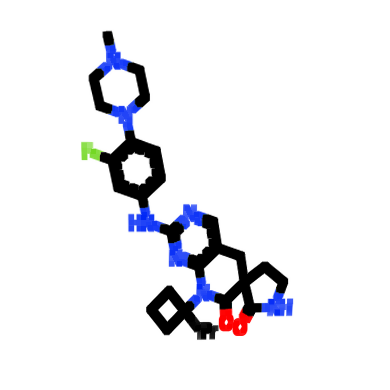 CC(C)C1(N2C(=O)C3(CCNC3=O)Cc3cnc(Nc4ccc(N5CCN(C)CC5)c(F)c4)nc32)CCC1